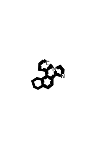 c1ccc2c(c1)c1c3c(ccc1c1nccn21)CCCC3